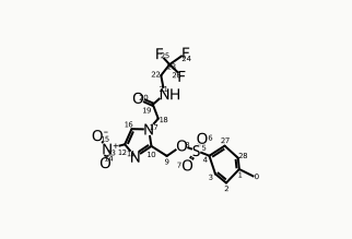 Cc1ccc(S(=O)(=O)OCc2nc([N+](=O)[O-])cn2CC(=O)NCC(F)(F)F)cc1